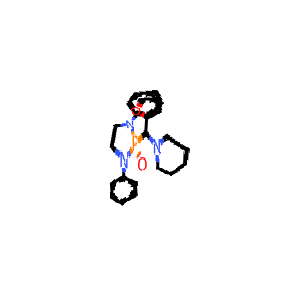 O=P1(C(c2ccco2)N2CCCCC2)N(c2ccccc2)CCN1c1ccccc1